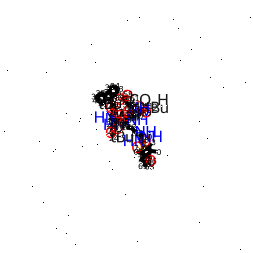 Cc1c(C)c(S(=O)(=O)NC(=N)NCCC[C@H](NC(=O)[C@H](CC(=O)OC(C)(C)C)NC(=O)OCC2c3ccccc3-c3ccccc32)C(=O)N[C@@H](CC(=O)OC(C)(C)C)C(=O)N[C@@H](CC(=O)OC(C)(C)C)C(=O)O)c(C)c2c1OC(C)(C)C2